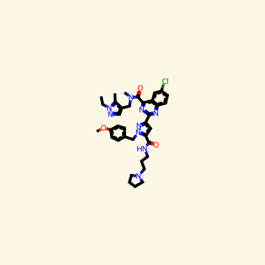 CCn1ncc(CN(C)C(=O)c2nc(-c3cc(C(=O)NCCCN4CCCC4)n(Cc4ccc(OC)cc4)n3)nc3ccc(Cl)cc23)c1C